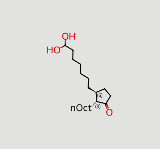 CCCCCCCC[C@H]1C(=O)CC[C@@H]1CCCCCCC(O)O